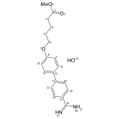 COC(=O)CCCCOc1ccc(-c2ccc(C(=N)N)cc2)cc1.Cl